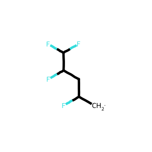 [CH2]C(F)CC(F)C(F)F